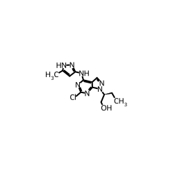 CC[C@@H](CO)n1ncc2c(Nc3cc(C)[nH]n3)nc(Cl)nc21